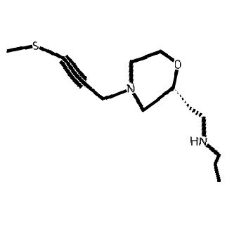 CCNC[C@@H]1CN(CC#CSC)CCO1